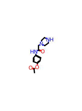 CC(=O)Oc1ccc(NC(=O)CN2CCNCC2)cc1